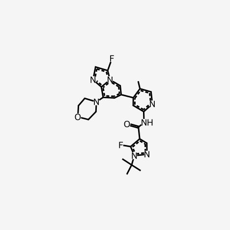 Cc1cnc(NC(=O)c2cnn(C(C)(C)C)c2F)cc1-c1cc(N2CCOCC2)c2ncc(F)n2c1